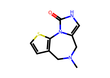 CN1Cc2ccsc2-n2c(c[nH]c2=O)C1